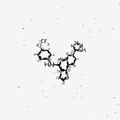 FC(F)(F)Oc1ccc(Nc2nc3cc(-c4nnn[nH]4)ccc3c3sccc23)cc1